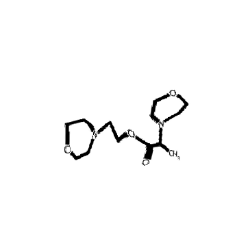 CC(C(=O)OCCN1CCOCC1)N1CCOCC1